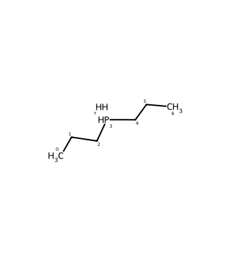 CCCPCCC.[HH]